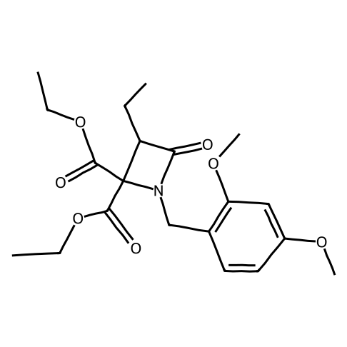 CCOC(=O)C1(C(=O)OCC)C(CC)C(=O)N1Cc1ccc(OC)cc1OC